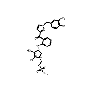 NS(=O)(=O)OC[C@H]1C[C@@H](Nc2ncncc2C(=O)c2ccn(Cc3ccc(F)c(C(F)(F)F)c3)n2)[C@H](O)[C@@H]1O